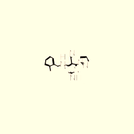 Cc1ccccc1CNc1nc(N)nc(-n2cccn2)c1C#N